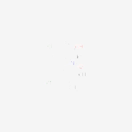 C=CC[C@@]1(C)C[C@H](c2cccc(Cl)c2)C(c2ccc(Cl)cc2)N(C(CC)CC(O)C(F)(F)F)C1=O